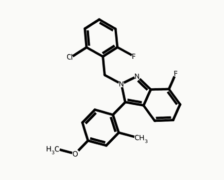 COc1ccc(-c2c3cccc(F)c3nn2Cc2c(F)cccc2Cl)c(C)c1